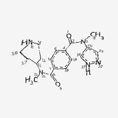 CN(C(=O)c1ccc(C(=O)N(C)C2CCNCC2)cc1)c1cn[nH]c1